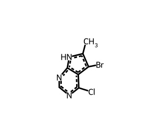 Cc1[nH]c2ncnc(Cl)c2c1Br